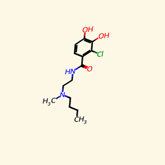 CCCCN(C)CCNC(=O)c1ccc(O)c(O)c1Cl